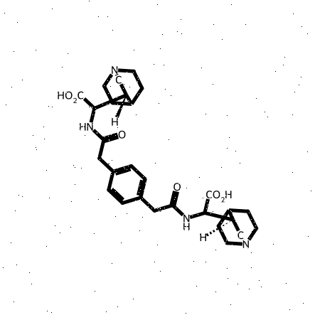 O=C(Cc1ccc(CC(=O)NC(C(=O)O)[C@@H]2CN3CCC2CC3)cc1)NC(C(=O)O)[C@@H]1CN2CCC1CC2